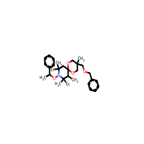 CCC1(C)CC2(OCC(C)(COCc3ccccc3)CO2)C(C)C(C)(CC)N1OC(C)c1ccccc1